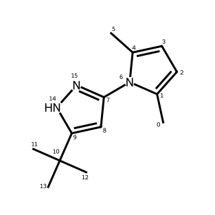 Cc1ccc(C)n1-c1cc(C(C)(C)C)[nH]n1